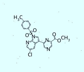 COC(=O)c1cncc(-c2cn(S(=O)(=O)c3ccc(C)cc3)c3ncc(Cl)cc23)n1